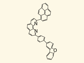 c1cc2ccc3ccc(-c4ccc5ccc6ccc(-c7ccc(-c8ccc9oc%10ccccc%10c9c8)cc7)nc6c5n4)c4ccc(c1)c2c34